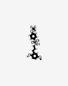 COc1ccc(OC)c(CCCNS(=O)(=O)c2ccc(OC(F)(F)F)cc2)c1